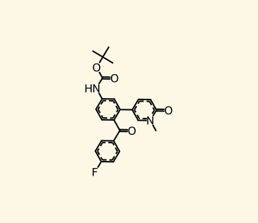 Cn1cc(-c2cc(NC(=O)OC(C)(C)C)ccc2C(=O)c2ccc(F)cc2)ccc1=O